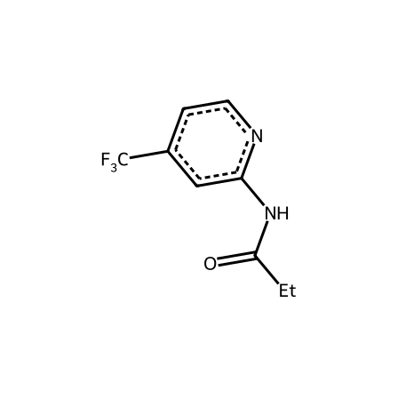 CCC(=O)Nc1cc(C(F)(F)F)ccn1